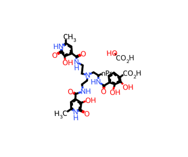 CCCC(CN(CCNC(=O)c1cc(C)[nH]c(=O)c1O)CCNC(=O)c1cc(C)[nH]c(=O)c1O)NC(=O)c1ccc(C(=O)O)c(O)c1O.O=C(O)O